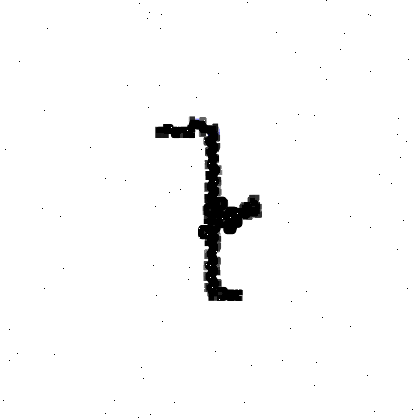 CCCCC/C=C\C/C=C\CCCCCCCCCCCC(=O)O[C@H](COC(=O)CCCCCCCCCCCCCCCCCCCC)COP(=O)([O-])OCC[N+](C)(C)C